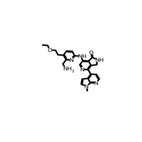 CCOCCc1ccc(Nc2cnc(-c3ccnc4c3ccn4C)c3c2C(=O)NC3)nc1CN